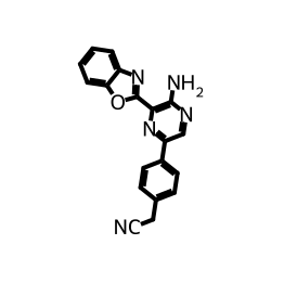 N#CCc1ccc(-c2cnc(N)c(-c3nc4ccccc4o3)n2)cc1